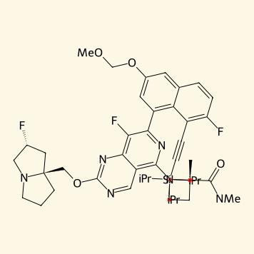 CNC(=O)[C@]1(C)CCN1c1nc(-c2cc(OCOC)cc3ccc(F)c(C#C[Si](C(C)C)(C(C)C)C(C)C)c23)c(F)c2nc(OC[C@@]34CCCN3C[C@H](F)C4)ncc12